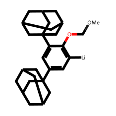 [Li][c]1cc(C23CC4CC(CC(C4)C2)C3)cc(C23CC4CC(CC(C4)C2)C3)c1OCOC